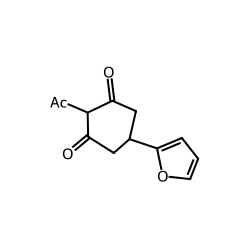 CC(=O)C1C(=O)CC(c2ccco2)CC1=O